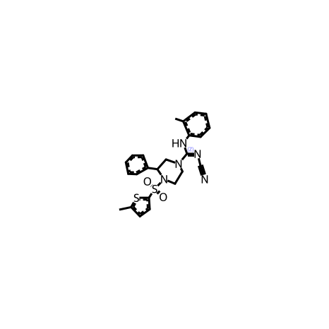 Cc1ccc(S(=O)(=O)N2CCN(/C(=N\C#N)Nc3ccccc3C)CC2c2ccccc2)s1